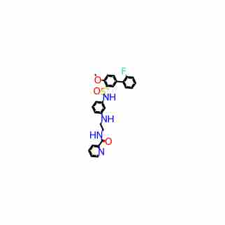 COc1ccc(-c2ccccc2F)cc1[S+]([O-])Nc1cccc(NCCNC(=O)c2ccccn2)c1